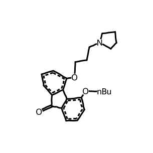 CCCCOc1cccc2c1-c1c(OCCCN3CCCC3)cccc1C2=O